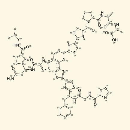 C=C(NC(=O)C1CCCN1C(=O)C1=NC(c2csc(-c3ccc(-c4nc(C(=O)NC(CC(N)=O)c5nc(C(=O)NCC(C)C)cs5)cs4)c(-c4csc(-c5csc(C(Cc6ccccc6)NC(=O)CNC(=O)c6cscn6)n5)n4)n3)n2)OC1)C(=O)NC(C)C(=O)O